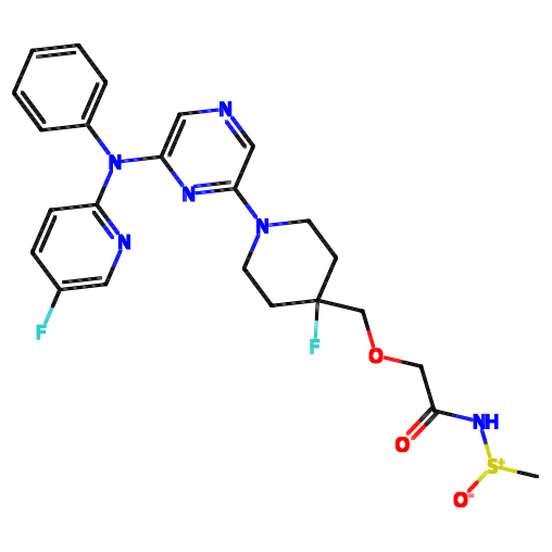 C[S+]([O-])NC(=O)COCC1(F)CCN(c2cncc(N(c3ccccc3)c3ccc(F)cn3)n2)CC1